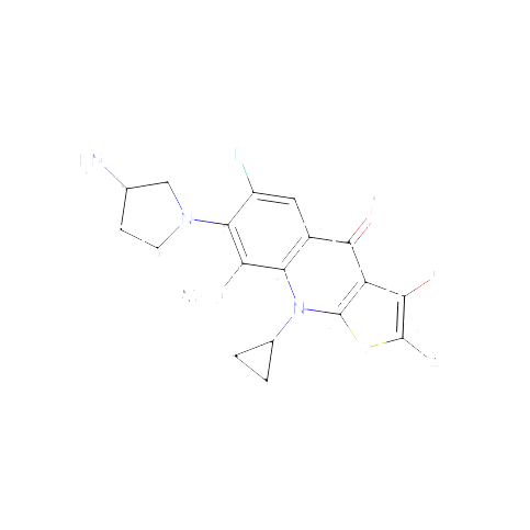 COc1c(N2CCC(N)C2)c(F)cc2c(=O)c3c(O)c(C(C)=O)sc3n(C3CC3)c12